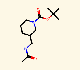 CC(=O)NCC1CCCN(C(=O)OC(C)(C)C)C1